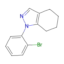 Brc1ccccc1-n1ncc2c1CCCC2